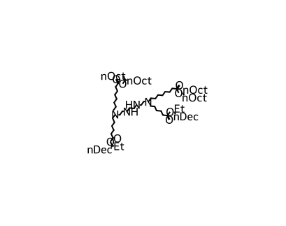 CCCCCCCCCCC(CC)OC(=O)CCCCCN(CCCCCCCC(=O)OC(CCCCCCCC)CCCCCCCC)CCNCCNCCN(CCCCCCCC(=O)OC(CCCCCCCC)CCCCCCCC)CCCCCC(=O)OC(CC)CCCCCCCCCC